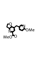 COC(=O)c1cc(Cc2ccc(OC)nc2)c2c(n1)CCO2